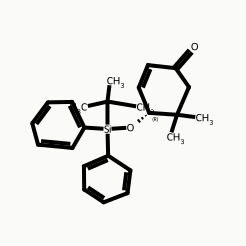 CC1(C)CC(=O)C=C[C@H]1O[Si](c1ccccc1)(c1ccccc1)C(C)(C)C